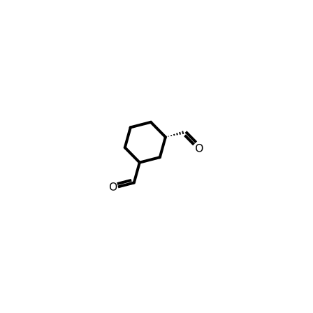 O=CC1CCC[C@H](C=O)C1